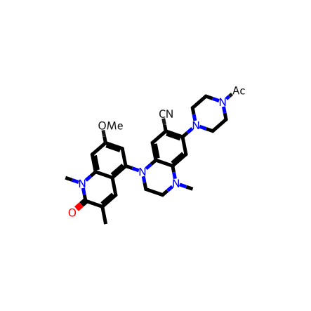 COc1cc(N2CCN(C)c3cc(N4CCN(C(C)=O)CC4)c(C#N)cc32)c2cc(C)c(=O)n(C)c2c1